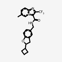 Cc1ccc2nc(C(F)(F)F)c(C(=O)NCc3ccc4c(c3)CC(C3CCC3)O4)n2c1